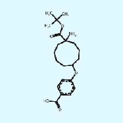 CC(C)(C)OC(=O)C1(N)CCCCC(Oc2ccc(C(=O)O)cc2)CCC1